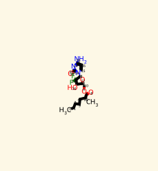 CCCCCC(C)C(=O)OC[C@H]1O[C@@H](n2ccc(N)nc2=O)C(F)(F)C1O